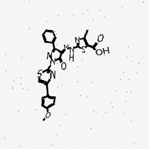 COc1ccc(-c2csc(N3N=C(c4ccccc4)/C(=N/Nc4nc(C)c(C(=O)O)s4)C3=O)n2)cc1